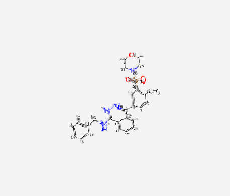 Cc1ccc(-c2nnc(NCc3ccccc3)c3ccccc23)cc1S(=O)(=O)N1CCOCC1